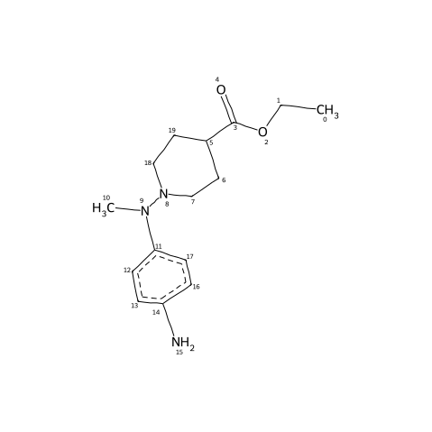 CCOC(=O)C1CCN(N(C)c2ccc(N)cc2)CC1